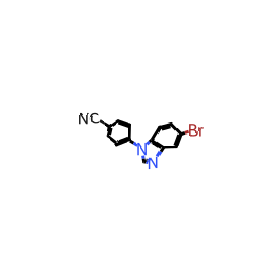 N#Cc1ccc(-n2cnc3cc(Br)ccc32)cc1